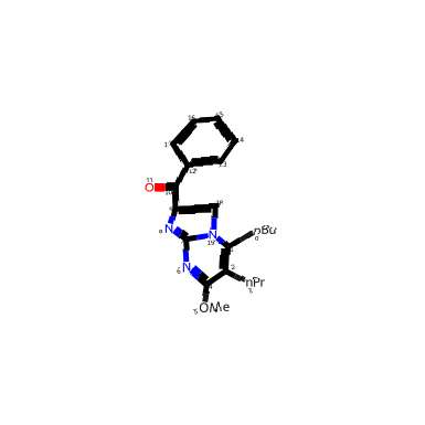 CCCCc1c(CCC)c(OC)nc2nc(C(=O)c3ccccc3)cn12